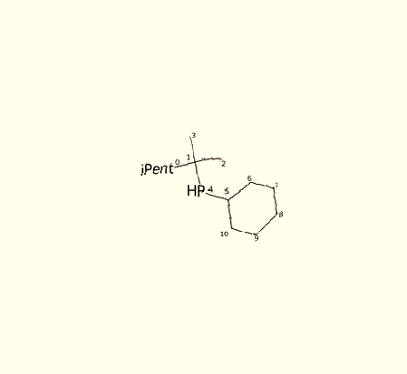 CCCC(C)C(C)(C)PC1CCCCC1